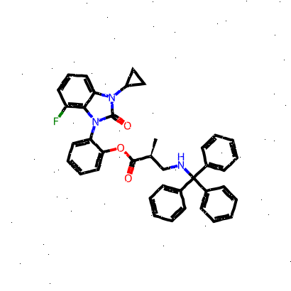 C[C@@H](CNC(c1ccccc1)(c1ccccc1)c1ccccc1)C(=O)Oc1ccccc1-n1c(=O)n(C2CC2)c2cccc(F)c21